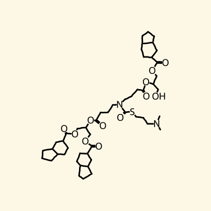 CN(C)CCCSC(=O)N(CCCC(=O)OC(CO)COC(=O)C1CCC2CCCC2C1)CCCC(=O)OC(COC(=O)C1CCC2CCCC2C1)COC(=O)C1CCC2CCCC2C1